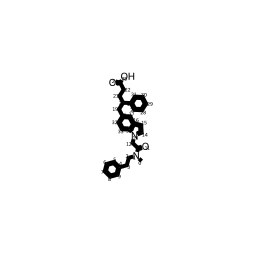 CN(CCc1ccccc1)C(=O)Cn1ccc2cc(CC(CCC(=O)O)c3ccccc3)ccc21